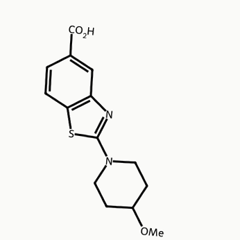 COC1CCN(c2nc3cc(C(=O)O)ccc3s2)CC1